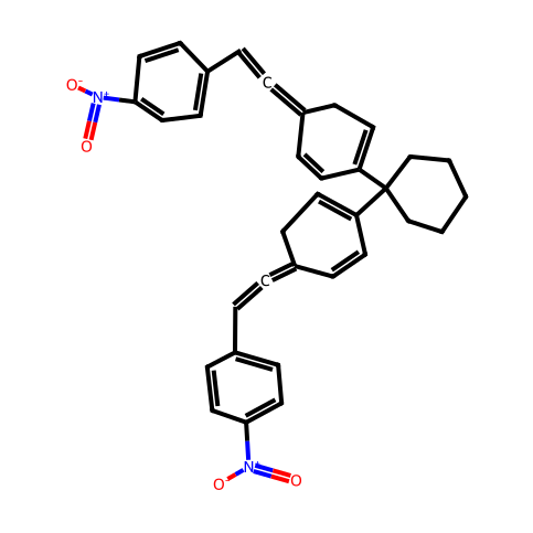 O=[N+]([O-])c1ccc(C=C=C2C=CC(C3(C4=CCC(=C=Cc5ccc([N+](=O)[O-])cc5)C=C4)CCCCC3)=CC2)cc1